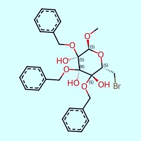 CO[C@H]1O[C@H](CBr)[C@](O)(OCc2ccccc2)[C@@](O)(OCc2ccccc2)[C@@]1(O)OCc1ccccc1